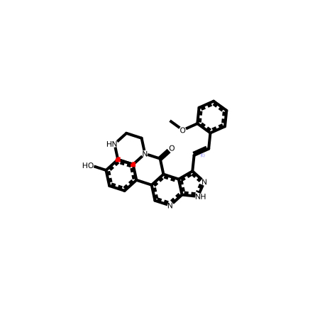 COc1ccccc1/C=C/c1n[nH]c2ncc(-c3ccc(O)cc3)c(C(=O)N3CCNCC3)c12